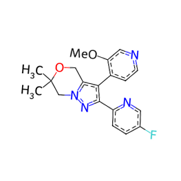 COc1cnccc1-c1c(-c2ccc(F)cn2)nn2c1COC(C)(C)C2